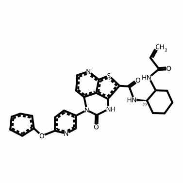 C=CC(=O)NC1CCCC[C@H]1NC(=O)c1sc2nccc3c2c1NC(=O)N3c1ccc(Oc2ccccc2)nc1